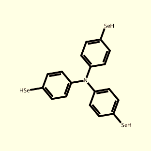 [SeH]c1ccc(N(c2ccc([SeH])cc2)c2ccc([SeH])cc2)cc1